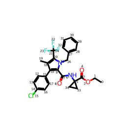 CCOC(=O)C1(NC(=O)c2c(-c3ccc(Cl)cc3)c(C)c(C(F)(F)F)n2Cc2ccccc2)CC1